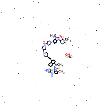 Cc1ccc(N[C@H]2CNCC2(F)F)cc1C(=O)N[C@H](C)c1ccc(C#CC2CCN(CC3CCN(C(=O)C4CCN(c5ccc6c(c5)n(C)c(=O)n6C5CCC(=O)N(C)C5=O)CC4)CC3)CC2)c2ccccc12.O=CO